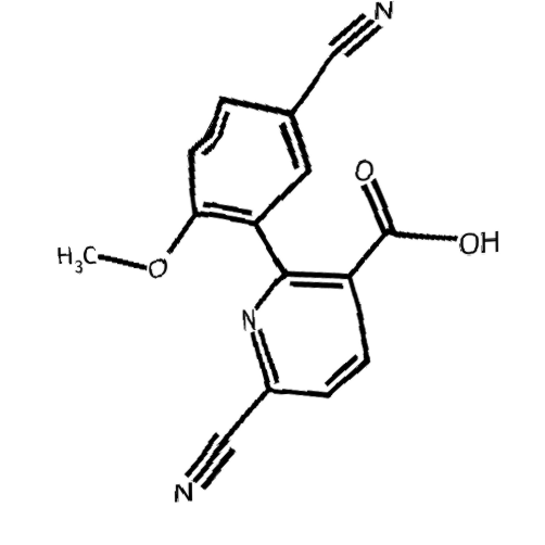 COc1ccc(C#N)cc1-c1nc(C#N)ccc1C(=O)O